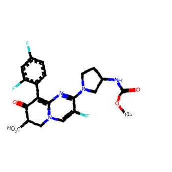 CC(C)(C)OC(=O)NC1CCN(C2=NC3=C(c4ccc(F)cc4F)C(=O)C(C(=O)O)CN3C=C2F)C1